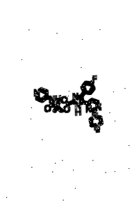 CN1CCN(c2nccc(-c3[nH]c(C4OCC(C)(C(=O)Nc5ccncc5)CO4)nc3-c3ccc(F)cc3)n2)CC1